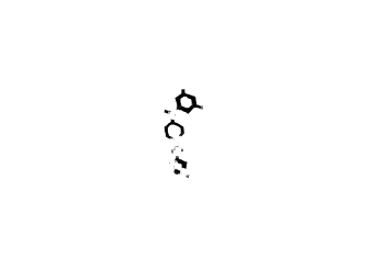 CN(c1cc(F)cc(I)c1)C1CCN(S(=O)(=O)c2cn(C)cn2)CC1